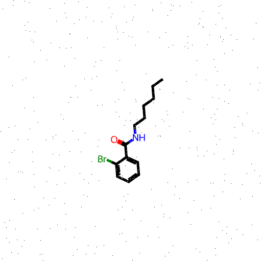 CCCCCCNC(=O)c1ccccc1Br